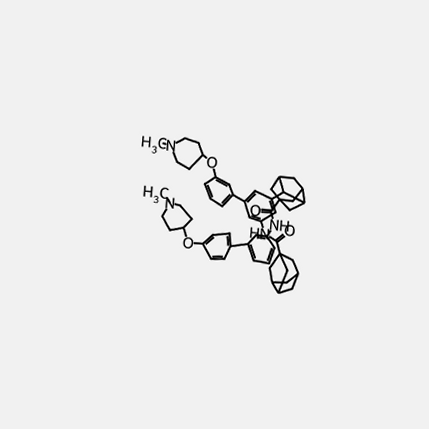 CN1CCC(Oc2ccc(-c3cccc(NC(=O)C45CC6CC(C4)C(c4cc(NC(=O)C78CC9CC(C7)C(C9)C8)cc(-c7cccc(OC8CCN(C)CC8)c7)c4)C6C5)c3)cc2)CC1